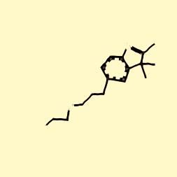 CCOC(=O)CCOCCCc1ccc2c(c1)C(C)(C)C(C)=N2